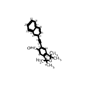 CC1(C)OC(C)(C)c2cc(C=O)c(C#Cc3ccc4ccccc4c3)cc21